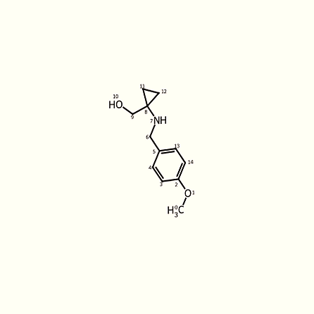 COc1ccc(CNC2(CO)CC2)cc1